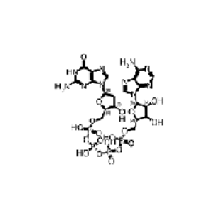 Nc1nc2c(ncn2[C@H]2C[C@@H](O)[C@@H](COP(=O)(O)OP(=O)(O)OP(=O)(O)OP(=O)(O)OC[C@H]3O[C@@H](n4cnc5c(N)ncnc54)[C@@H](O)C3O)O2)c(=O)[nH]1